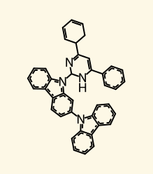 C1=CCC(C2=NC(n3c4ccccc4c4ccc(-n5c6ccccc6c6ccccc65)cc43)NC(c3ccccc3)=C2)C=C1